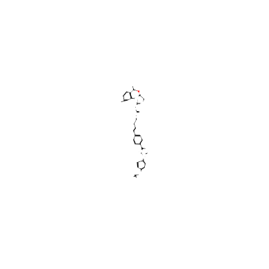 Cc1ccc(C(C)C)c(N2C(=O)CS/C2=N\C(=O)NCC/C=C/c2ccc(-c3ncn(-c4ccc(OC(F)(F)F)cc4)n3)cc2)c1